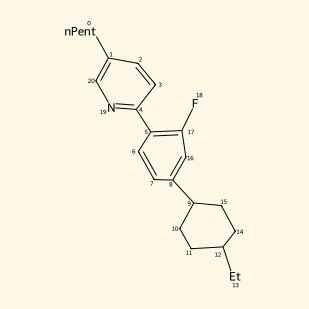 CCCCCc1ccc(-c2ccc(C3CCC(CC)CC3)cc2F)nc1